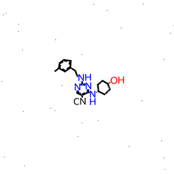 Cc1cccc(CCNc2ncc(C#N)c(N[C@H]3CC[C@H](O)CC3)n2)c1